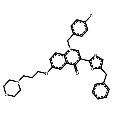 O=c1c(-c2ncc(Cc3ccccc3)o2)cn(Cc2ccc(Cl)cc2)c2ccc(OCCCN3CCOCC3)cc12